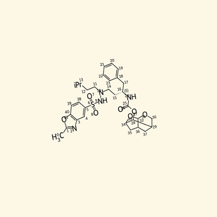 Cc1nc2cc(S(=O)(=O)NN(CCC(C)C)CC[C@H](Cc3ccccc3)NC(=O)OC3C4COC5OC3CC5C4)ccc2o1